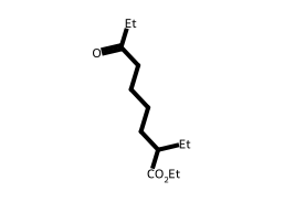 CCOC(=O)C(CC)CCCCC(=O)CC